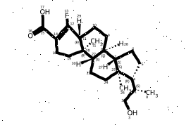 C[C@H](CO)[C@H]1CC[C@H]2[C@@H]3CC[C@H]4C(F)=C(C(=O)O)CC[C@]4(C)[C@H]3CC[C@]12C